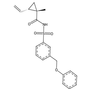 C=C[C@@H]1C[C@]1(C)C(=O)NS(=O)(=O)c1cccc(COc2ccccc2)c1